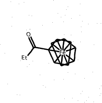 CCC(=O)[C]12[CH]3[CH]4[CH]5[CH]1[Fe]45321678[CH]2[CH]1[CH]6[CH]7[CH]28